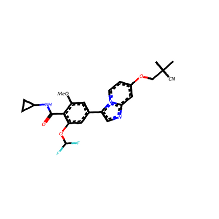 COc1cc(-c2cnc3cc(OCC(C)(C)C#N)ccn23)cc(OC(F)F)c1C(=O)NC1CC1